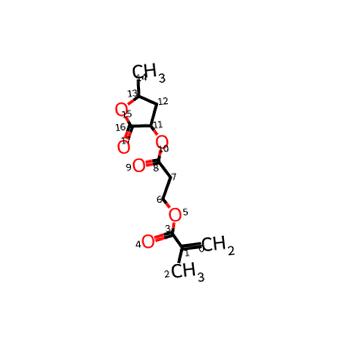 C=C(C)C(=O)OCCC(=O)OC1CC(C)OC1=O